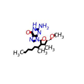 CCCCCC(C)C1[C@@H](C)[C@@H](COC)O[C@H]1n1cnc2c(=O)[nH]c(N)nc21